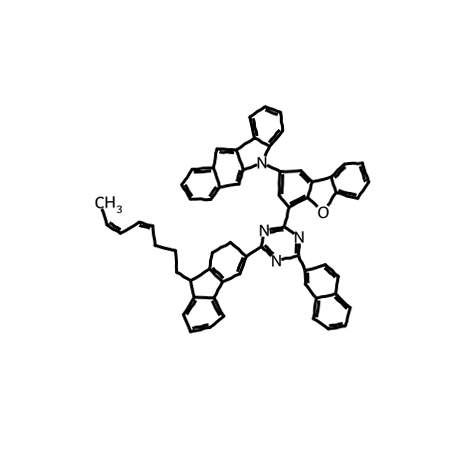 C/C=C\C=C/CCCC1C2=C(C=C(c3nc(-c4ccc5ccccc5c4)nc(-c4cc(-n5c6ccccc6c6cc7ccccc7cc65)cc5c4oc4ccccc45)n3)CC2)c2ccccc21